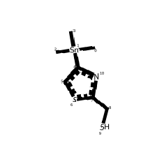 [CH3][Sn]([CH3])([CH3])[c]1csc(CS)n1